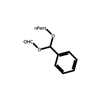 CCCCCOC(O[C]=O)c1ccccc1